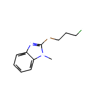 Cn1c(SCCCCl)nc2ccccc21